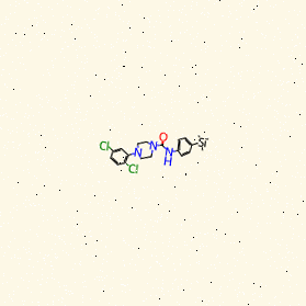 C[Si](C)(C)c1ccc(NC(=O)N2CCN(c3cc(Cl)ccc3Cl)CC2)cc1